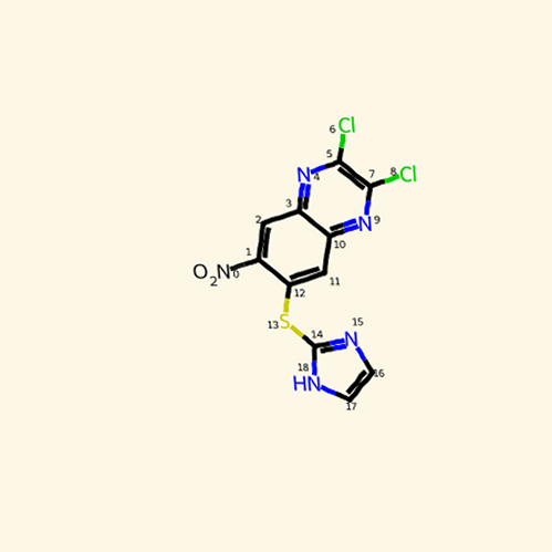 O=[N+]([O-])c1cc2nc(Cl)c(Cl)nc2cc1Sc1ncc[nH]1